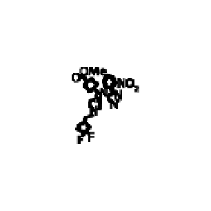 COC(=O)c1ccc(C(N2CCN(CCc3ccc(F)c(F)c3)CC2)n2c3cncnc3c3c([N+](=O)[O-])cccc32)cc1